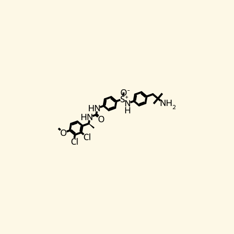 COc1ccc([C@H](C)NC(=O)Nc2ccc([S+]([O-])Nc3ccc(CC(C)(C)N)cc3)cc2)c(Cl)c1Cl